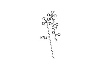 C=CC(=O)OC.CCCCCCCCCCCCOS(=O)(=O)[O-].O=S(=O)([O-])OOS(=O)(=O)O.[K+].[Na+]